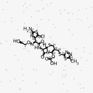 C#CCON=C(C(=O)NC1C(=O)N2C(OC(=O)O)=C(CSc3nnc(C)s3)CS[C@@H]12)c1nc(N)sc1Cl